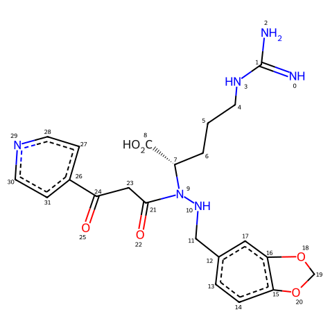 N=C(N)NCCC[C@@H](C(=O)O)N(NCc1ccc2c(c1)OCO2)C(=O)CC(=O)c1ccncc1